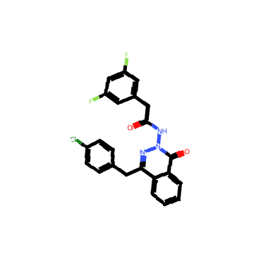 O=C(Cc1cc(F)cc(F)c1)Nn1nc(Cc2ccc(Cl)cc2)c2ccccc2c1=O